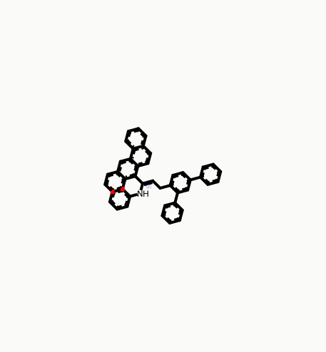 C(/Cc1ccc(-c2ccccc2)cc1-c1ccccc1)=C(/Nc1ccccc1)c1c2ccccc2cc2c1ccc1ccccc12